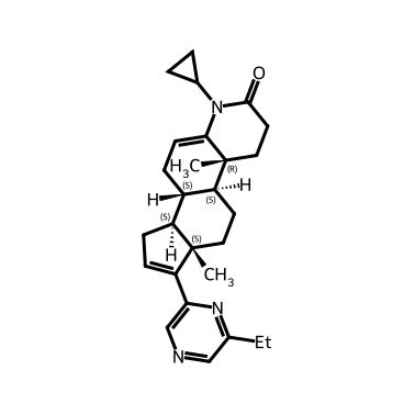 CCc1cncc(C2=CC[C@H]3[C@@H]4CC=C5N(C6CC6)C(=O)CC[C@]5(C)[C@H]4CC[C@]23C)n1